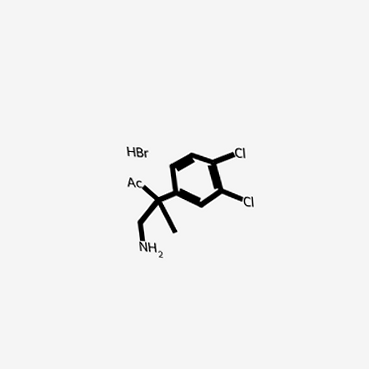 Br.CC(=O)C(C)(CN)c1ccc(Cl)c(Cl)c1